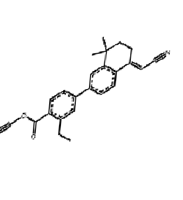 C#COC(=O)c1ccc(-c2ccc3c(c2)C(C)(C)CC/C3=C\C#N)cc1CC